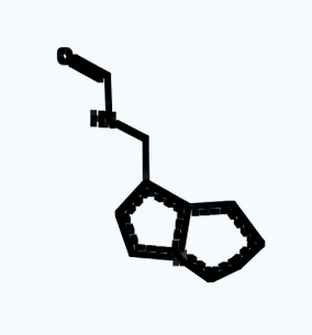 O=CNCc1ccn2ccccc12